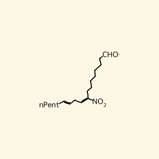 CCCCC/C=C/C/C=C(\CCCCCCC[C]=O)[N+](=O)[O-]